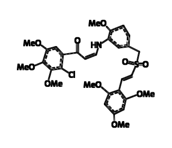 COc1cc(OC)c(/C=C/S(=O)(=O)Cc2ccc(OC)c(N/C=C\C(=O)c3cc(OC)c(OC)c(OC)c3Cl)c2)c(OC)c1